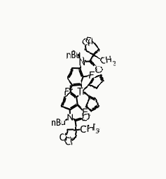 CCCCN(C(=O)C(C)(CCl)CCl)c1ccc(F)[c]([Ti]([C]2=CC=CC2)([C]2=CC=CC2)[c]2c(F)ccc(N(CCCC)C(=O)C(C)(CCl)CCl)c2F)c1F